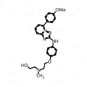 COc1ccc(-c2cccc3nc(Nc4ccc(OCCN(C)CCO)cc4)nn23)cc1